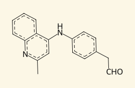 Cc1cc(Nc2ccc(CC=O)cc2)c2ccccc2n1